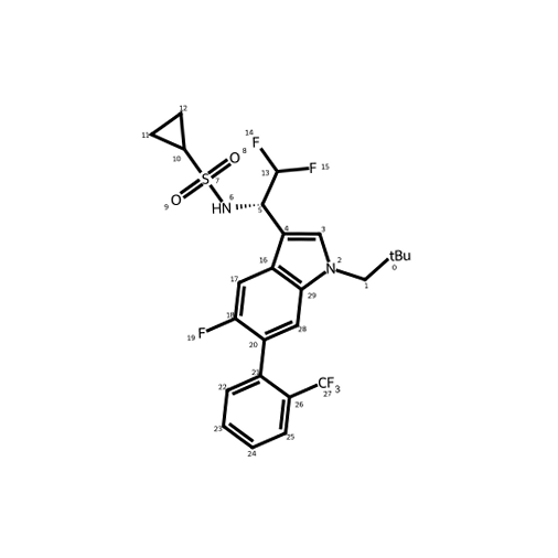 CC(C)(C)Cn1cc([C@H](NS(=O)(=O)C2CC2)C(F)F)c2cc(F)c(-c3ccccc3C(F)(F)F)cc21